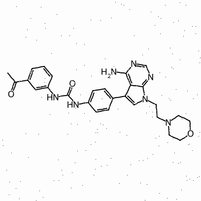 CC(=O)c1cccc(NC(=O)Nc2ccc(-c3cn(CCN4CCOCC4)c4ncnc(N)c34)cc2)c1